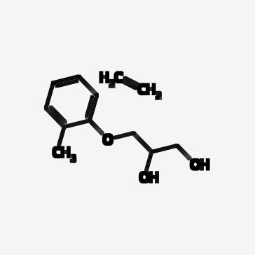 C=C.Cc1ccccc1OCC(O)CO